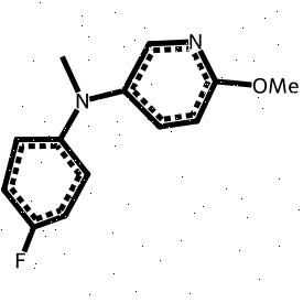 COc1ccc(N(C)c2ccc(F)cc2)cn1